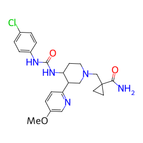 COc1ccc(C2CN(CC3(C(N)=O)CC3)CCC2NC(=O)Nc2ccc(Cl)cc2)nc1